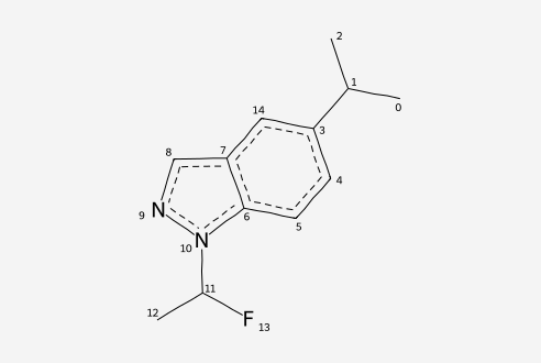 CC(C)c1ccc2c(cnn2C(C)F)c1